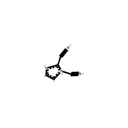 N#Cc1n[c]cn1C#N